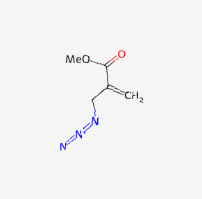 C=C(CN=[N+]=[N-])C(=O)OC